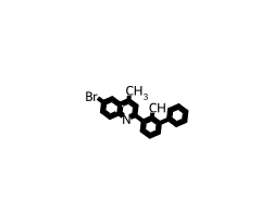 Cc1c(-c2ccccc2)cccc1-c1cc(C)c2cc(Br)ccc2n1